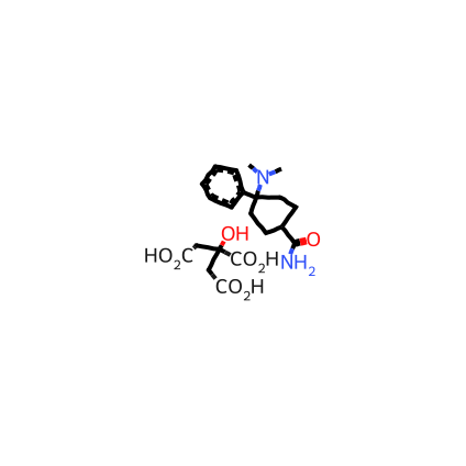 CN(C)C1(c2ccccc2)CCC(C(N)=O)CC1.O=C(O)CC(O)(CC(=O)O)C(=O)O